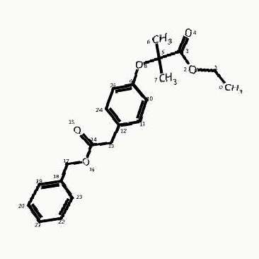 CCOC(=O)C(C)(C)Oc1ccc(CC(=O)OCc2ccccc2)cc1